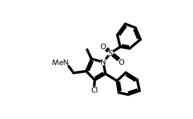 CNCc1c(Cl)c(-c2ccccc2)n(S(=O)(=O)c2ccccc2)c1C